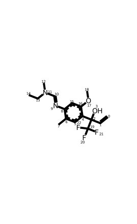 C=CC(O)(c1cc(C)c(N=CN(C)CC)cc1OC)C(F)(F)F